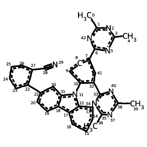 Cc1nc(C)nc(-c2ccc(-n3c4ccccc4c4ccc(-c5ccccc5C#N)cc43)c(-c3nc(C)nc(C)n3)c2)n1